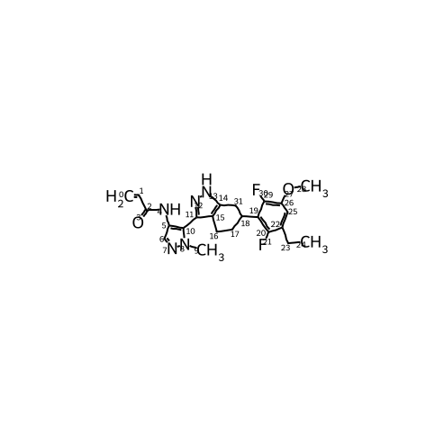 C=CC(=O)Nc1cnn(C)c1-c1n[nH]c2c1CCC(c1c(F)c(CC)cc(OC)c1F)C2